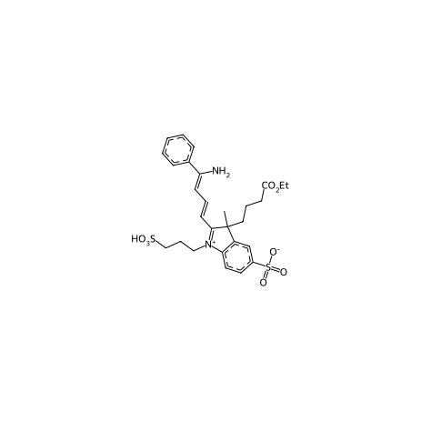 CCOC(=O)CCCC1(C)C(C=CC=C(N)c2ccccc2)=[N+](CCCS(=O)(=O)O)c2ccc(S(=O)(=O)[O-])cc21